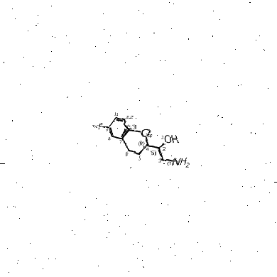 NC[C@H](O)[C@H]1CCc2cc(F)ccc2O1